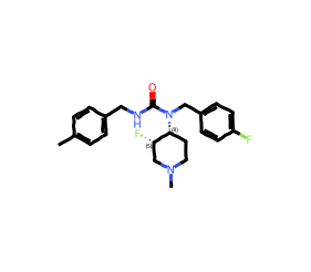 Cc1ccc(CNC(=O)N(Cc2ccc(F)cc2)[C@@H]2CCN(C)C[C@@H]2F)cc1